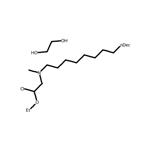 CCCCCCCCCCCCCCCCCCN(C)CC(Cl)OCC.OCCO